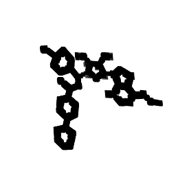 CON=c1nc[nH]c2c1ncn2[C@@H]1O[C@H](C(OC(=O)c2ccc(-c3ccccc3)cc2)c2ccc(Cl)cc2)[C@@H](O)[C@H]1O